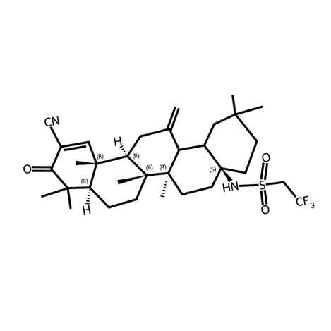 C=C1C[C@@H]2[C@@]3(C)C=C(C#N)C(=O)C(C)(C)[C@@H]3CC[C@@]2(C)[C@]2(C)CC[C@@]3(NS(=O)(=O)CC(F)(F)F)CCC(C)(C)CC3C12